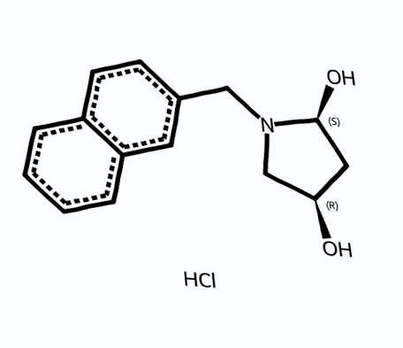 Cl.O[C@@H]1C[C@H](O)N(Cc2ccc3ccccc3c2)C1